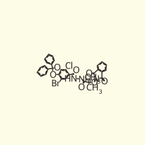 CC(C)(ON1C(=O)c2ccccc2C1=O)C(=O)NNC(=O)c1cc(Br)c2c(c1Cl)OC(c1ccccc1)(c1ccccc1)O2